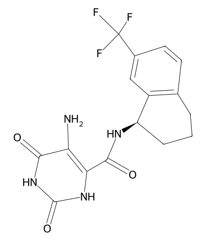 Nc1c(C(=O)N[C@@H]2CCCc3ccc(C(F)(F)F)cc32)[nH]c(=O)[nH]c1=O